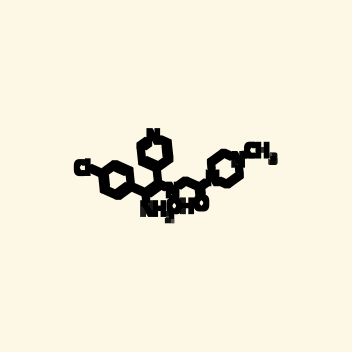 CN1CCN(C(=O)CN(O)/C(=C(\N)c2ccc(Cl)cc2)c2ccncc2)CC1